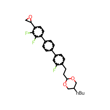 CCCCC1COC(CCc2ccc(-c3ccc(-c4ccc(C5CO5)c(F)c4F)cc3)cc2F)OC1